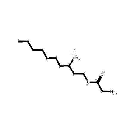 CCCCCCCC(N)CCOC(=O)CN.Cl